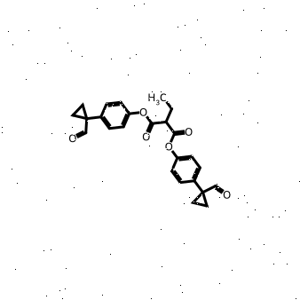 CCC(C(=O)Oc1ccc(C2(C=O)CC2)cc1)C(=O)Oc1ccc(C2(C=O)CC2)cc1